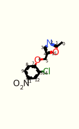 Cc1ncc(COc2ccc([N+](=O)[O-])cc2Cl)o1